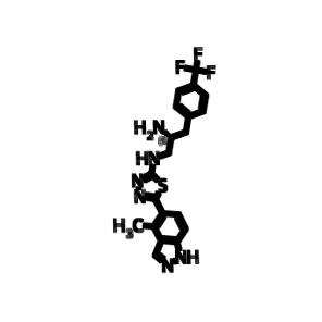 Cc1c(-c2nnc(NC[C@@H](N)Cc3ccc(C(F)(F)F)cc3)s2)ccc2[nH]ncc12